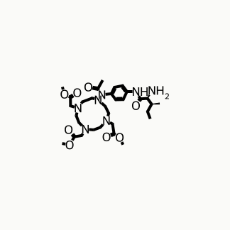 CC[C@H](C)[C@H](N)C(=O)Nc1ccc(N(C(C)=O)N2CCN(CC(=O)OC)CCN(CC(=O)OC)CCN(CC(=O)OC)CC2)cc1